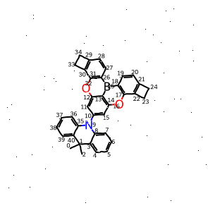 CC1(C)c2ccccc2N(c2cc3c4c(c2)Oc2c(ccc5c2CC5)B4c2ccc4c(c2O3)CC4)c2ccccc21